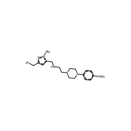 COc1ccc(N2CCN(CCNCc3cc(CC(C)C)nn3C(C)(C)C)CC2)cc1